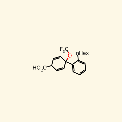 CCCCCCc1ccccc1C1(OC(F)(F)F)C=CC(C(=O)O)C=C1